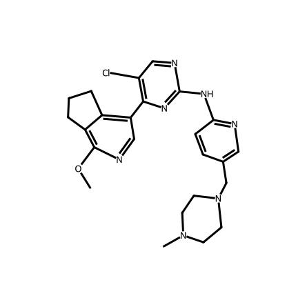 COc1ncc(-c2nc(Nc3ccc(CN4CCN(C)CC4)cn3)ncc2Cl)c2c1CCC2